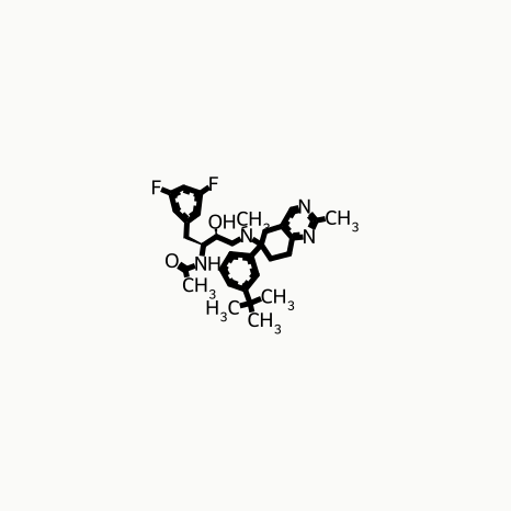 CC(=O)N[C@@H](Cc1cc(F)cc(F)c1)[C@H](O)CN(C)C1(c2cccc(C(C)(C)C)c2)CCc2nc(C)ncc2C1